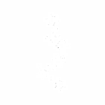 O=C1OC[C@@H](COc2ccccc2)N1CCC1CCN(C[C@H]2COc3cc(OCc4ccccc4)c(Br)cc3O2)CC1